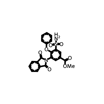 COC(=O)c1cc(N2C(=O)c3ccccc3C2=O)c(Oc2ccccc2)c(S(N)(=O)=O)c1